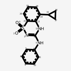 O=S1(=O)N=C(Nc2ccccc2)Nc2c(C3CC3)cccc21